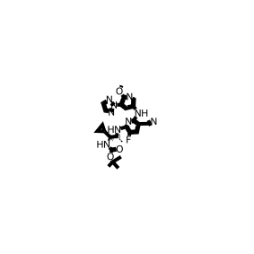 COc1ncc(Nc2nc(N[C@H](C)[C@@H](NC(=O)OC(C)(C)C)C3CC3)c(F)cc2C#N)cc1-n1nccn1